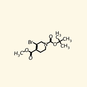 COC(=O)C1=C(Br)CN(C(=O)OC(C)(C)C)CC1